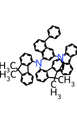 CC1(C)c2ccccc2-c2c(N(c3cccc4c3-c3ccccc3C4(C)C)c3cc(-n4c5ccccc5c5ccccc54)cc4c(-c5ccccc5)cccc34)cccc21